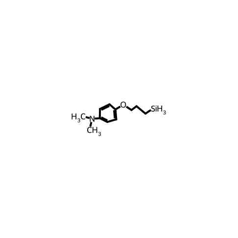 CN(C)c1ccc(OCCC[SiH3])cc1